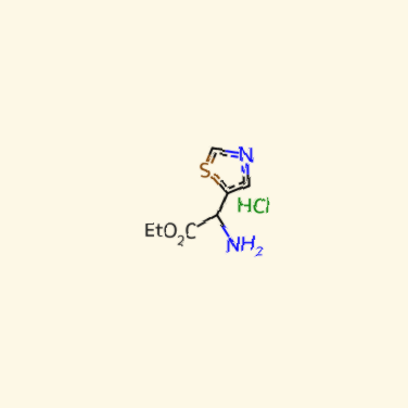 CCOC(=O)C(N)c1cncs1.Cl